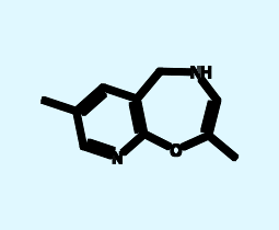 CC1=CNCc2cc(C)cnc2O1